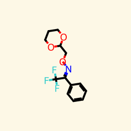 FC(F)(F)C(=NOCC1OCCCO1)c1ccccc1